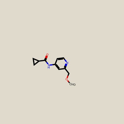 O=COCc1cc(NC(=O)C2CC2)ccn1